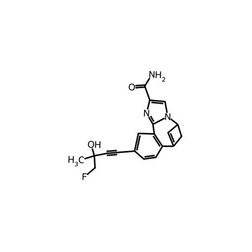 CC(O)(C#Cc1ccc2c(c1)-c1nc(C(N)=O)cn1C1C=C2C1)CF